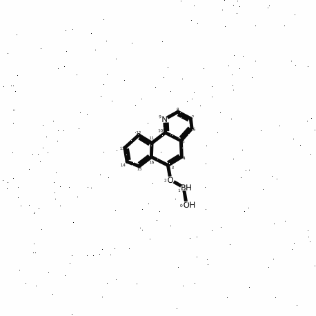 OBOc1cc2cccnc2c2ccccc12